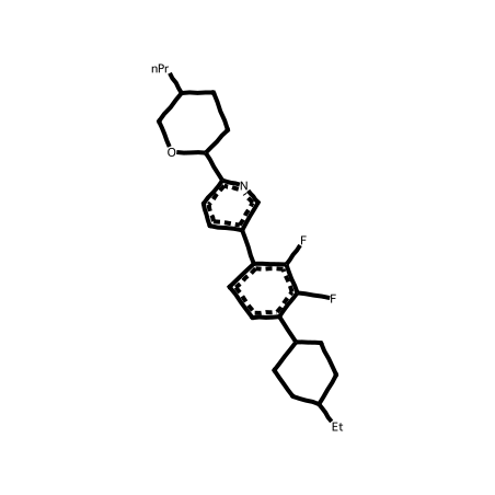 CCCC1CCC(c2ccc(-c3ccc(C4CCC(CC)CC4)c(F)c3F)cn2)OC1